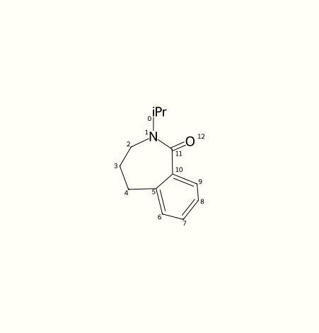 CC(C)N1CCCc2ccccc2C1=O